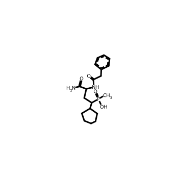 CP(=O)(O)C(CC(NC(=O)Cc1ccccc1)C(N)=O)C1CCCCC1